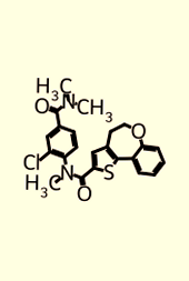 CN(C)C(=O)c1ccc(N(C)C(=O)c2cc3c(s2)-c2ccccc2OCC3)c(Cl)c1